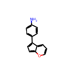 Nc1ccc(-c2ccc3occcc2-3)cc1